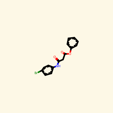 O=C(CC(=O)Oc1ccccc1)Nc1ccc(Br)cc1